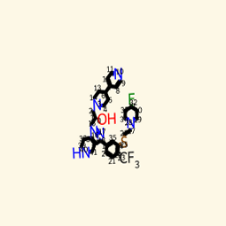 O[C@@H](CN1CCC(c2ccncc2)CC1)Cn1nc(-c2ccc(C(F)(F)F)c(SCCN3CCC(F)CC3)c2)c2c1CCNC2